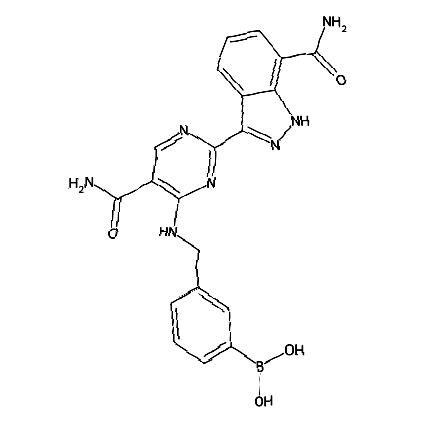 NC(=O)c1cnc(-c2n[nH]c3c(C(N)=O)cccc23)nc1NCc1cccc(B(O)O)c1